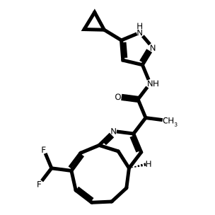 CC(C(=O)Nc1cc(C2CC2)[nH]n1)C1=C[C@H]2CC/C=C\C(C(F)F)=C/C(=N1)C2